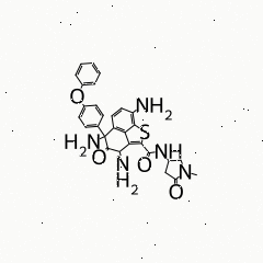 CN1CC(NC(=O)c2sc3c(N)ccc4c3c2C(N)C(=O)C4(N)c2ccc(Oc3ccccc3)cc2)CC1=O